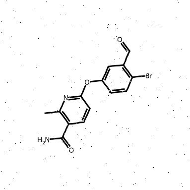 Cc1nc(Oc2ccc(Br)c(C=O)c2)ccc1C(N)=O